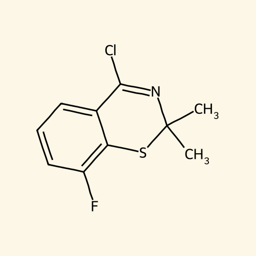 CC1(C)N=C(Cl)c2cccc(F)c2S1